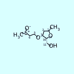 CC1C[C@@H](OCC[S+](C)[O-])[C@@H](CO)O1